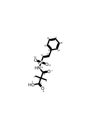 CC(C)(C(=O)O)C(=O)NS(=O)(=O)/C=C/c1ccccc1